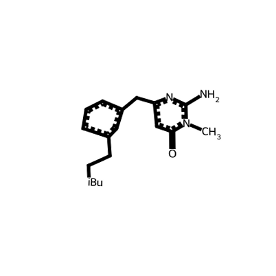 CCC(C)CCc1cccc(Cc2cc(=O)n(C)c(N)n2)c1